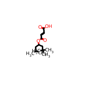 CC(C)CC(CC(C)(C)C)OC(=O)/C=C/C(=O)O